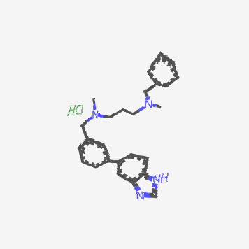 CN(CCCN(C)Cc1cccc(-c2ccc3[nH]cnc3c2)c1)Cc1ccccc1.Cl